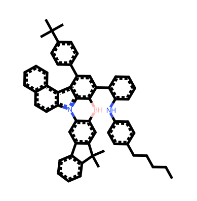 CCCCCc1ccc(Nc2ccccc2-c2cc(-c3ccc(C(C)(C)C)cc3)c3c4c5ccccc5ccc4n4c3c2Bc2cc3c(cc2-4)-c2ccccc2C3(C)C)cc1